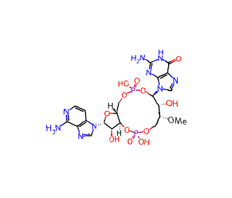 CO[C@@H]1COP(=O)(O)O[C@H]2[C@@H](O)[C@H](n3cnc4c(N)nccc43)O[C@@H]2COP(=O)(O)O[C@@H](n2cnc3c(=O)[nH]c(N)nc32)[C@@H]1O